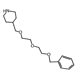 c1ccc(COCCOCCOCC2CCNCC2)cc1